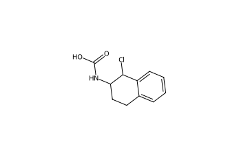 O=C(O)NC1CCc2ccccc2C1Cl